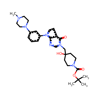 CN1CCN(c2cccc(-n3ccc4c(=O)n(CC5(O)CCN(C(=O)OC(C)(C)C)CC5)cnc43)c2)CC1